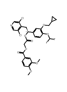 COc1ccc(C(=O)OCC(=O)O[C@@H](Cc2c(Cl)cncc2Cl)c2ccc(OC(F)F)c(OCC3CC3)c2)cc1OC